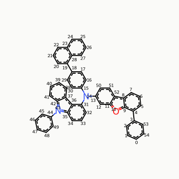 c1ccc(-c2cccc3c2oc2cc(N(c4ccc(-c5cccc6ccccc56)cc4)c4cccc5c4c4ccccc4n5-c4ccccc4)ccc23)cc1